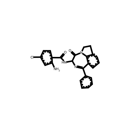 Nc1cc(Cl)ccc1C(=O)NC1N=C(c2ccccc2)c2cccc3c2N(CC3)C1=O